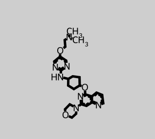 CN(C)CCOc1cnc(NC2CCC(Oc3nc(N4CCOCC4)cc4ncccc34)CC2)nc1